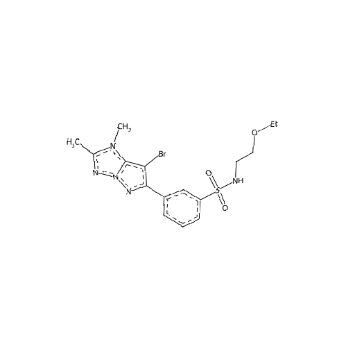 CCOCCNS(=O)(=O)c1cccc(-c2nn3nc(C)n(C)c3c2Br)c1